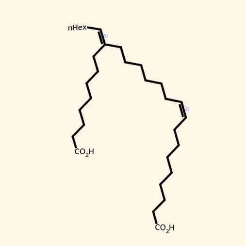 CCCCCC/C=C(/CCCCCC/C=C\CCCCCCCC(=O)O)CCCCCCCC(=O)O